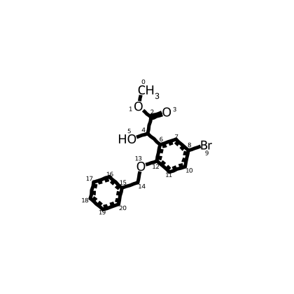 COC(=O)C(O)c1cc(Br)ccc1OCc1ccccc1